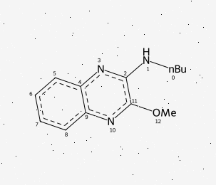 CCCCNc1nc2ccccc2nc1OC